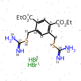 Br.Br.CCOC(=O)c1cc(C(=O)OCC)c(CSC(=N)N)cc1CSC(=N)N